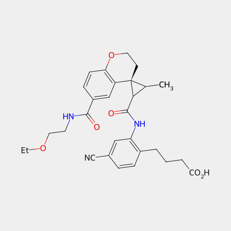 CCOCCNC(=O)c1ccc2c(c1)[C@]1(CCO2)C(C)C1C(=O)Nc1cc(C#N)ccc1CCCC(=O)O